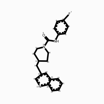 O=C(Nc1ccc(F)cc1)N1CCC(Cc2cnc3ccccc3c2)CC1